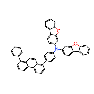 c1ccc(-c2cccc3c2ccc2c(-c4ccc(N(c5ccc6c(c5)oc5ccccc56)c5ccc6c(c5)oc5ccccc56)cc4)cccc23)cc1